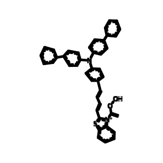 C=C(OO)[n+]1c(/C=C/C=C/c2ccc(N(c3ccc(-c4ccccc4)cc3)c3ccc(-c4ccccc4)cc3)cc2)sc2ccccc21